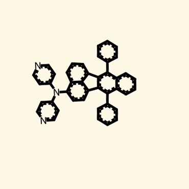 c1ccc(-c2c3c(c(-c4ccccc4)c4ccccc24)-c2ccc(N(c4ccncc4)c4ccncc4)c4cccc-3c24)cc1